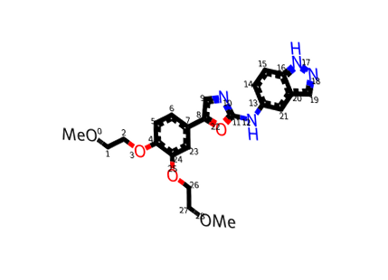 COCCOc1ccc(-c2cnc(Nc3ccc4[nH]ncc4c3)o2)cc1OCCOC